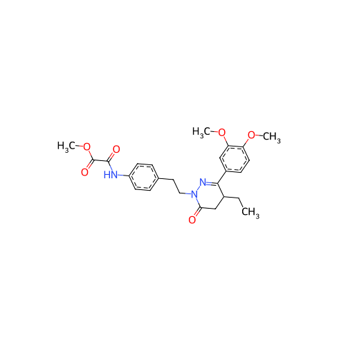 CCC1CC(=O)N(CCc2ccc(NC(=O)C(=O)OC)cc2)N=C1c1ccc(OC)c(OC)c1